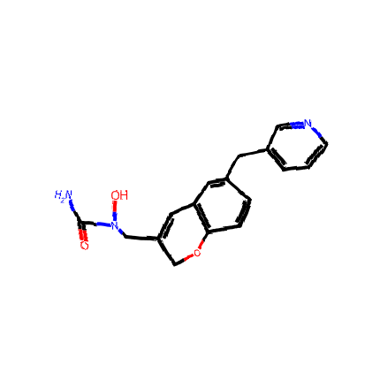 NC(=O)N(O)CC1=Cc2cc(Cc3cccnc3)ccc2OC1